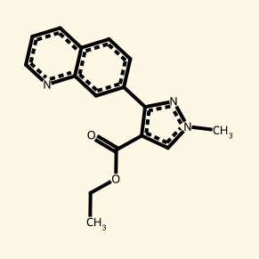 CCOC(=O)c1cn(C)nc1-c1ccc2cccnc2c1